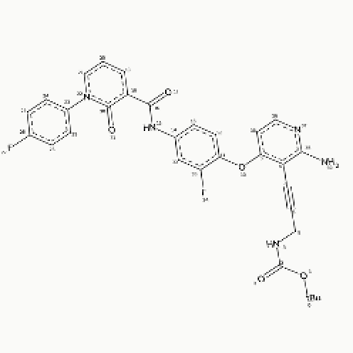 CC(C)(C)OC(=O)NCC#Cc1c(Oc2ccc(NC(=O)c3cccn(-c4ccc(F)cc4)c3=O)cc2F)ccnc1N